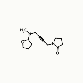 CN(CC#CCN1CCCC1=O)C1CCCO1